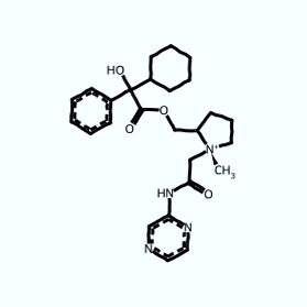 C[N@+]1(CC(=O)Nc2cnccn2)CCCC1COC(=O)C(O)(c1ccccc1)C1CCCCC1